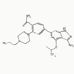 CC(Oc1cc(-c2ccc(C(N)=O)c(N3CCN(CCC(C)(C)C)CC3)c2)cc2[nH]nc(N)c12)C(F)(F)F